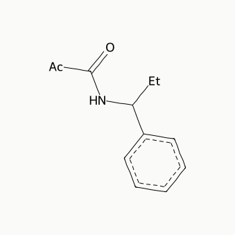 CCC(NC(=O)C(C)=O)c1ccccc1